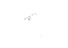 CCC=CCC=CCC=CCC=CCC=CCC=CCCC(=O)NC(Cc1ccccc1)C(=O)Nc1ccc(O)c(C(=O)O)c1